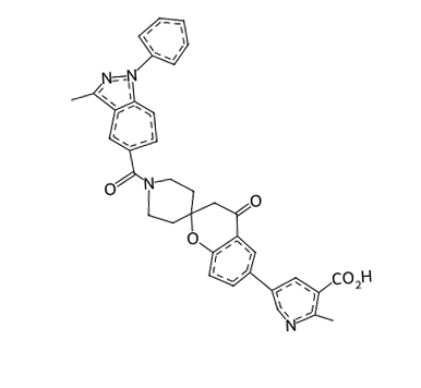 Cc1ncc(-c2ccc3c(c2)C(=O)CC2(CCN(C(=O)c4ccc5c(c4)c(C)nn5-c4ccccc4)CC2)O3)cc1C(=O)O